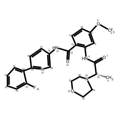 C[C@@H](C(=O)Nc1cc(OC(F)(F)F)ccc1C(=O)Nc1ccc(-c2ccccc2F)nc1)N1CCOCC1